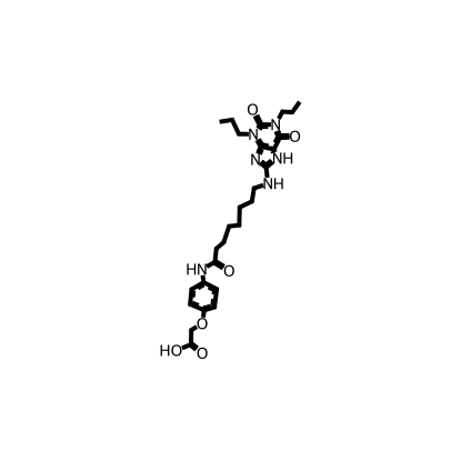 CCCn1c(=O)c2[nH]c(NCCCCCCCC(=O)Nc3ccc(OCC(=O)O)cc3)nc2n(CCC)c1=O